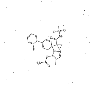 CS(=O)(=O)NC(=O)C1(C2(n3ncc(F)c3OC(N)=O)C=CC(c3ccccc3F)=CC2)CC1